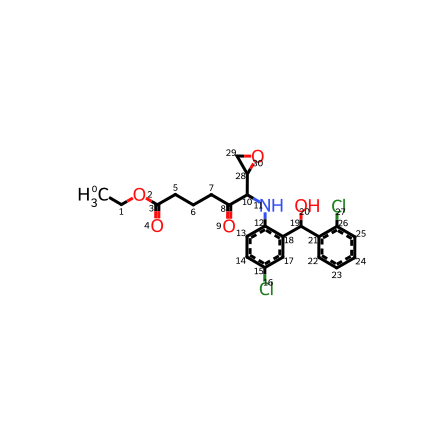 CCOC(=O)CCCC(=O)C(Nc1ccc(Cl)cc1C(O)c1ccccc1Cl)C1CO1